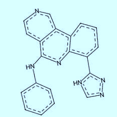 c1ccc(Nc2nc3c(-c4nnc[nH]4)cccc3c3cnccc23)cc1